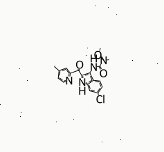 CON(C)C(=O)Nc1c(C(=O)c2cc(C)ccn2)[nH]c2cc(Cl)ccc12